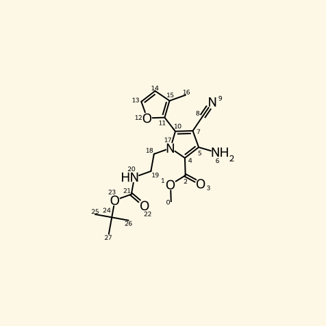 COC(=O)c1c(N)c(C#N)c(-c2occc2C)n1CCNC(=O)OC(C)(C)C